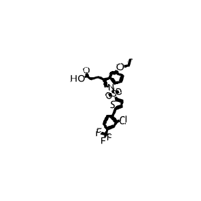 CCOc1ccc2c(c1)c(CCC(=O)O)cn2S(=O)(=O)c1ccc(-c2ccc(C(F)(F)F)cc2Cl)s1